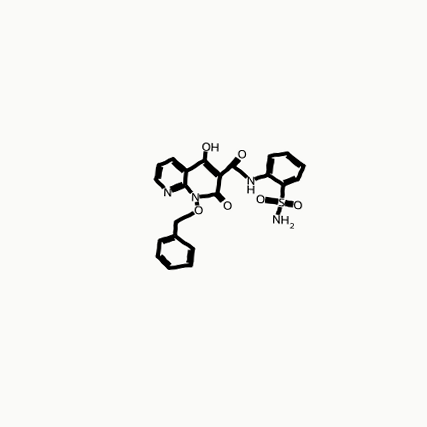 NS(=O)(=O)c1ccccc1NC(=O)c1c(O)c2cccnc2n(OCc2ccccc2)c1=O